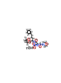 CCCCOC(=O)N[C@@H](CC(=O)N1CCOCC1)C(=O)N[C@H](CCCc1ccccc1)B1OC(C)(C)C(C)(C)O1